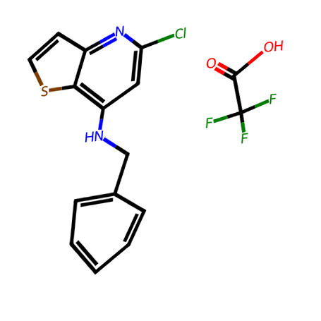 Clc1cc(NCc2ccccc2)c2sccc2n1.O=C(O)C(F)(F)F